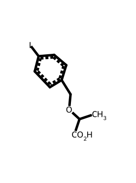 CC(OCc1ccc(I)cc1)C(=O)O